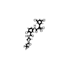 O=C(NC1CN(C(=O)CC(F)(F)F)C1)c1cc(NC(=O)C2C(c3cc(Cl)cc(Cl)c3)C2(Cl)Cl)ccc1Cl